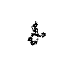 O=C1[C@@H]2C[C@@H](CN2c2ncnc3c2cnn3-c2ccc(F)cc2F)Oc2cccc(c2)-c2cccc3ncc(n23)CCCN1CCN1CCOCC1